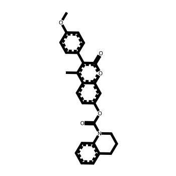 COc1ccc(-c2c(C)c3ccc(OC(=O)N4CCCc5ccccc54)cc3oc2=O)cc1